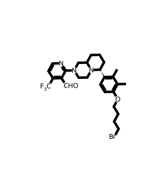 Cc1c(OCCCCBr)ccc([C@H]2CCCC3CN(c4nccc(C(F)(F)F)c4C=O)CCN32)c1C